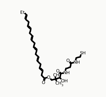 CCC=CCC=CCC=CCC=CCC=CCC=CCC(=O)OCC(C)(C)C(O)C(=O)NCCC(=O)NCCS